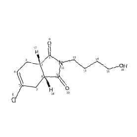 O=C1[C@H]2CC=C(Cl)C[C@H]2C(=O)N1CCCCO